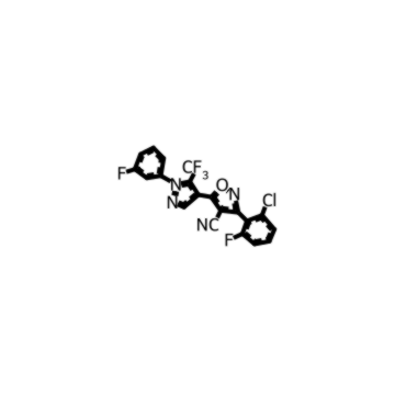 N#Cc1c(-c2c(F)cccc2Cl)noc1-c1cnn(-c2cccc(F)c2)c1C(F)(F)F